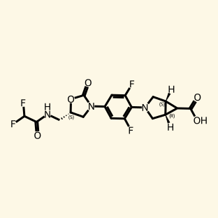 O=C(NC[C@H]1CN(c2cc(F)c(N3C[C@@H]4C(C(=O)O)[C@@H]4C3)c(F)c2)C(=O)O1)C(F)F